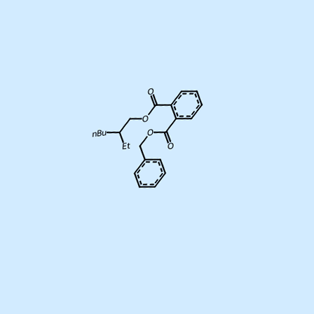 CCCCC(CC)COC(=O)c1ccccc1C(=O)OCc1ccccc1